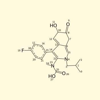 CC(C)CN1C=C2CC(=O)C(O)C=C2C(c2ccc(F)cc2)=C1N(C)C(=O)O